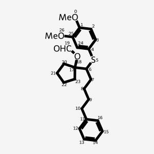 COc1ccc(SC(CCCCc2ccccc2)C2(OC=O)CCCC2)cc1OC